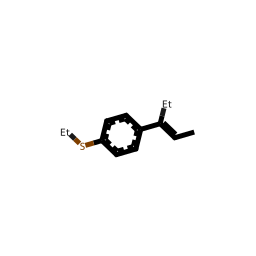 C/C=C(\CC)c1ccc(SCC)cc1